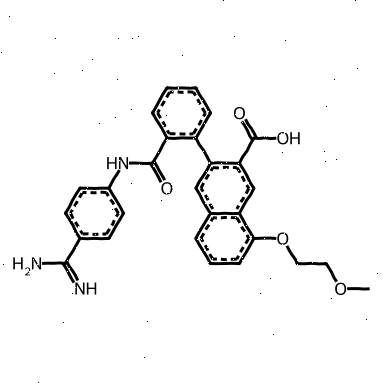 COCCOc1cccc2cc(-c3ccccc3C(=O)Nc3ccc(C(=N)N)cc3)c(C(=O)O)cc12